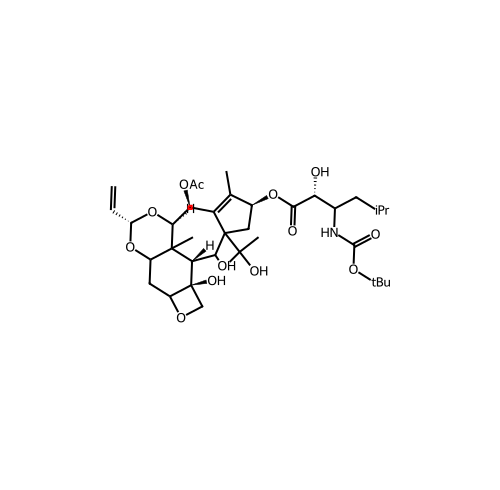 C=C[C@H]1OC2CC3OC[C@@]3(O)[C@H]3C(O)C4(C(C)(C)O)C[C@H](OC(=O)[C@H](O)C(CC(C)C)NC(=O)OC(C)(C)C)C(C)=C4[C@H](OC(C)=O)[C@H](O1)C23C